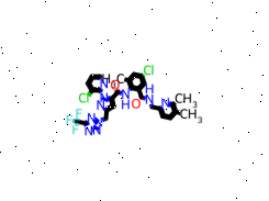 Cc1ccc(CNC(=O)c2cc(Cl)cc(C)c2NC(=O)c2cc(Cn3nnc(C(F)(F)F)n3)nn2-c2ncccc2Cl)nc1C